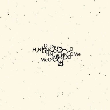 CC[C@H](C)[C@@H]([C@@H](CC(=O)n1cccc1[C@H](OC)[C@@H](C)C(=O)N[C@@H](Cc1ccccc1)C(=O)OC)OC)N(C)C(=O)[C@@H](NC(=O)C(C)(N)CC)C(C)C